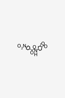 O=C(Nc1ccc2c(c1)COC2=O)C(=O)c1ccc([N+](=O)[O-])cc1